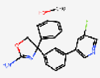 NC1=NC(c2ccccc2)(c2cccc(-c3cncc(F)c3)c2)CO1.O=CO